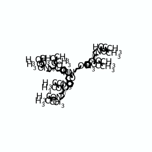 CC(C)(C)OC(=O)[C@@H](Cc1cccc(CC(C(=O)NCCCOc2cccc(C[C@H](C(=O)OC(C)(C)C)[C@H]3CCN(C(=O)OC(C)(C)C)C3)c2)c2cccc(C[C@H](C(=O)OC(C)(C)C)[C@H]3CCN(C(=O)OC(C)(C)C)C3)c2)c1)[C@H]1CCN(C(=O)OC(C)(C)C)C1